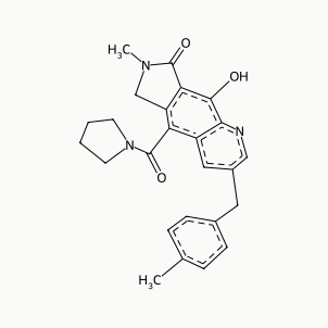 Cc1ccc(Cc2cnc3c(O)c4c(c(C(=O)N5CCCC5)c3c2)CN(C)C4=O)cc1